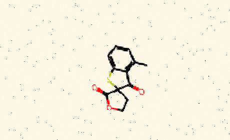 Cc1cccc2c1C(=O)C1(CCOC1=O)S2